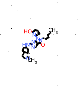 CCC/C=C\Cn1c(=O)c2cnc(Nc3ccc4c(c3)CN(C)CC4)nc2n1-c1cccc(O)n1